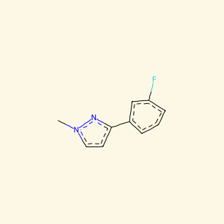 Cn1ccc(-c2cccc(F)c2)n1